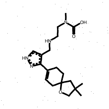 CN(CCNCc1c[nH]nc1C1=CCC2(CC1)CC(C)(C)CO2)C(=O)O